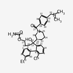 CCc1cccc(-c2c(Cl)cccc2[C@](O)(CCCOC(N)=O)[C@@H]2CCCN(C(=O)c3ccc(CN(C)C)cc3)C2)c1